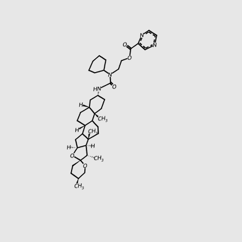 C[C@H]1CC[C@@]2(OC1)O[C@H]1CC3[C@@H]4CC[C@@H]5C[C@H](NC(=O)N(CCOC(=O)c6cnccn6)C6CCCCC6)CC[C@]5(C)C4CC[C@]3(C)[C@H]1[C@@H]2C